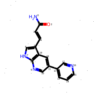 NC(=O)/C=C/c1c[nH]c2ncc(-c3cccnc3)cc12